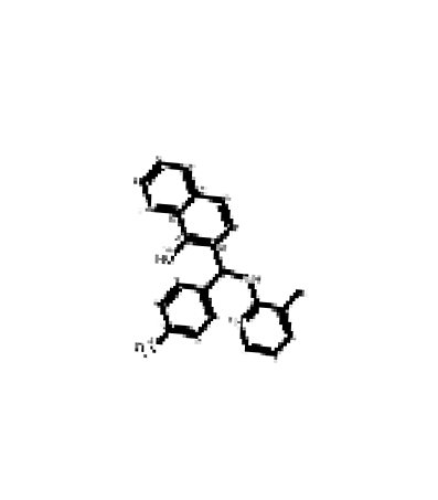 Cc1cccnc1NC(c1ccc([N+](=O)[O-])cc1)c1ccc2cccnc2c1O